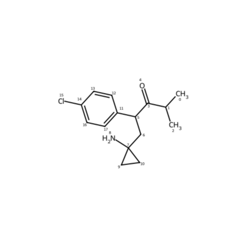 CC(C)C(=O)C(CC1(N)CC1)c1ccc(Cl)cc1